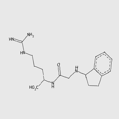 N=C(N)NCCCC(NC(=O)CNC1CCc2ccccc21)C(=O)O